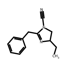 CCC1CN(C#N)C(Cc2ccccc2)=N1